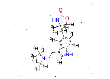 [2H]c1[nH]c2c([2H])c([2H])c(C([2H])([2H])[C@]3([2H])NC(=O)OC3([2H])[2H])c([2H])c2c1CCN(C([2H])([2H])[2H])C([2H])([2H])[2H]